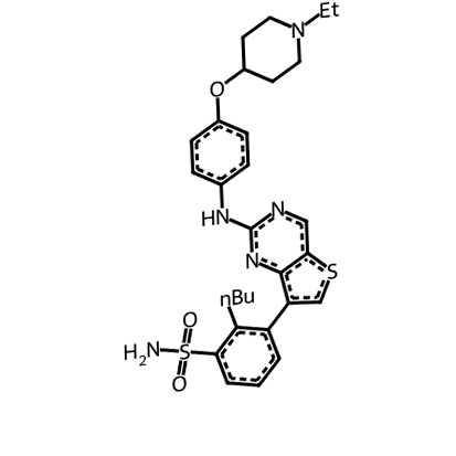 CCCCc1c(-c2csc3cnc(Nc4ccc(OC5CCN(CC)CC5)cc4)nc23)cccc1S(N)(=O)=O